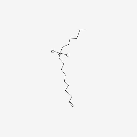 C=CCCCCCCCC[Si](Cl)(Cl)CCCCCC